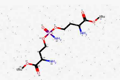 CC(C)(C)OC(=O)C(N)CCOP(N)(=O)OCCC(N)C(=O)OC(C)(C)C